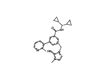 Cc1ncccc1-c1cc(Cn2ccn(C)c2=N)cc(C(=O)NC(C2CC2)C2CC2)c1